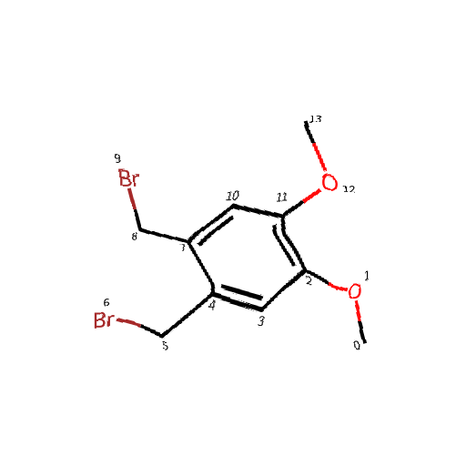 COc1cc(CBr)c(CBr)cc1OC